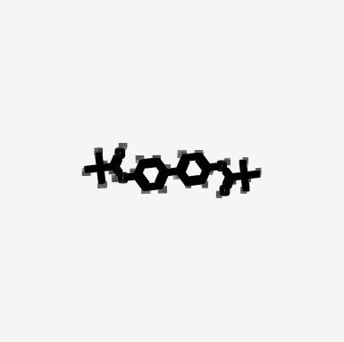 CC(C)(C)C(=O)Oc1ccc(-c2ccc(OC(=O)C(C)(C)C)cc2)cc1